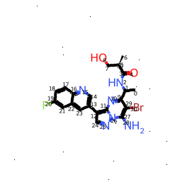 CC(NC(=O)[C@H](C)CO)c1nc2c(-c3cnc4ccc(F)cc4c3)cnn2c(N)c1Br